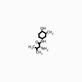 CC(C)[C@@H](N)C(=O)N[C@H]1CC[C@@H](O)[C@H](C)C1